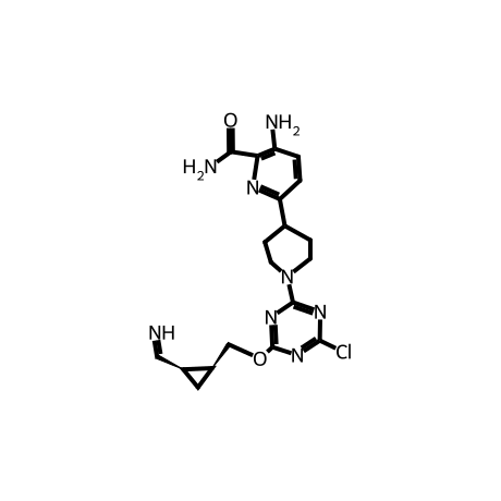 N=C[C@@H]1C[C@@H]1COc1nc(Cl)nc(N2CCC(c3ccc(N)c(C(N)=O)n3)CC2)n1